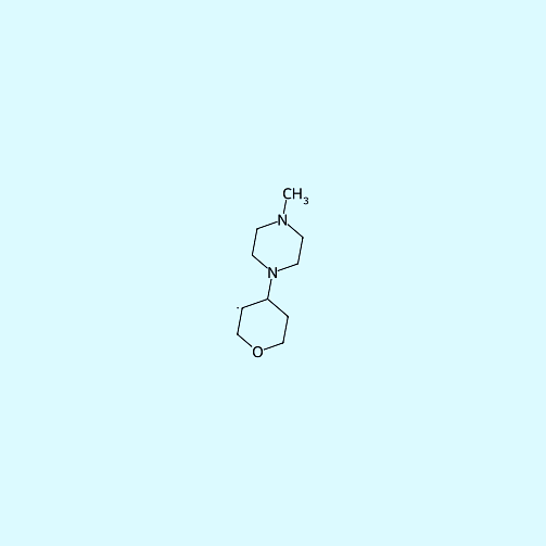 CN1CCN(C2[CH]COCC2)CC1